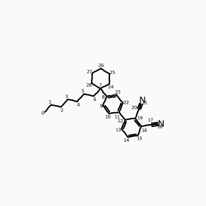 CCCCCCCC1(c2ccc(-c3cccc(C#N)c3C#N)cc2)CCCCC1